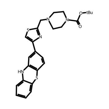 CC(C)(C)OC(=O)N1CCN(Cc2nc(-c3ccc4c(c3)Nc3ccccc3S4)cs2)CC1